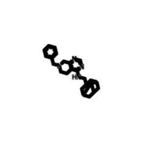 c1ccc(CN2CCc3c(ncnc3NCC34CC5CC(CC(C5)C3)C4)C2)cc1